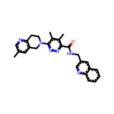 Cc1cnc2c(c1)CN(c1nnc(C(=O)NCc3cnc4ccccc4c3)c(C)c1C)CC2